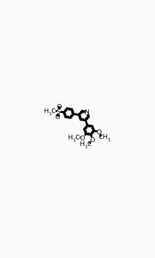 COc1cc(-c2cncc(-c3ccc(S(C)(=O)=O)cc3)c2)cc(OC)c1OC